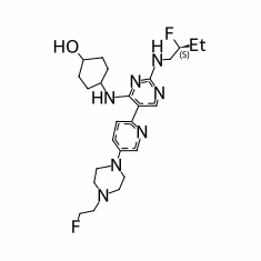 CC[C@H](F)CNc1ncc(-c2ccc(N3CCN(CCF)CC3)cn2)c(NC2CCC(O)CC2)n1